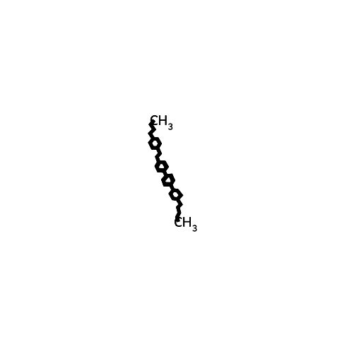 CCCCCC1CCC(c2ccc(-c3ccc(CCC4CCC(CCCC)CC4)cc3)cc2)CC1